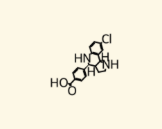 O=C(O)c1ccc([C@H]2Nc3ccc(Cl)cc3[C@@H]3NCC[C@@H]23)cc1